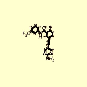 Nc1ncc(C#CC2=CCC(=S)C(C(=O)Nc3cccc(C(F)(F)F)c3)=C2)cn1